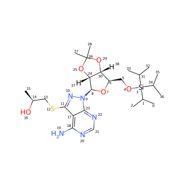 CC(C)[Si](OC[C@H]1O[C@@H](n2nc(SC[C@H](C)O)c3c(N)ncnc32)[C@@H]2OC(C)(C)O[C@@H]21)(C(C)C)C(C)C